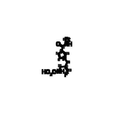 CCNC(=O)c1ccn(CC(=CF)CNC(=O)O)c1